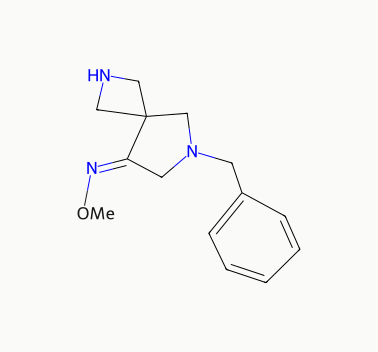 CON=C1CN(Cc2ccccc2)CC12CNC2